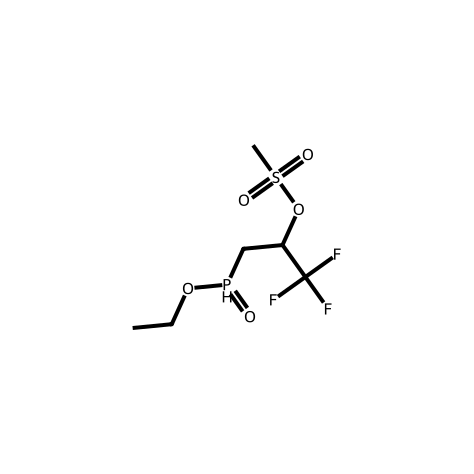 CCO[PH](=O)CC(OS(C)(=O)=O)C(F)(F)F